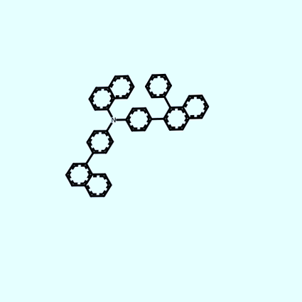 c1ccc(-c2c(-c3ccc(N(c4ccc(-c5cccc6ccccc56)cc4)c4cccc5ccccc45)cc3)ccc3ccccc23)cc1